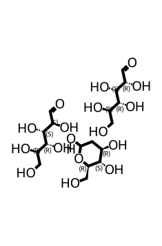 O=C[C@@H](O)[C@@H](O)[C@H](O)[C@H](O)CO.O=C[C@H](O)[C@@H](O)[C@H](O)[C@H](O)CO.OC[C@H]1OC(O)C[C@@H](O)[C@@H]1O